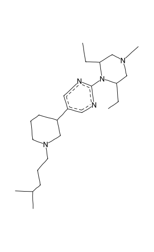 CCC1CN(C)CC(CC)N1c1ncc(C2CCCN(CCCC(C)C)C2)cn1